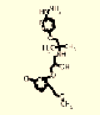 COCCc1ccc(Cl)cc1OCC(O)CNC(C)(C)COc1ccc(NN)nn1